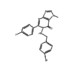 Cn1cnc2nc(-c3ccc(F)cc3)n(NCc3ccc(Br)cc3)c(=O)c21